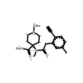 C#Cc1ccc(C)cc1CC(=O)N(C)C1(C(=O)OC)CCN(OC)CC1